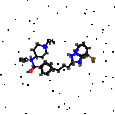 CN1CCC(N(C)C(=O)c2ccc(CCCc3nc4c(Br)cccn4n3)cc2)CC1